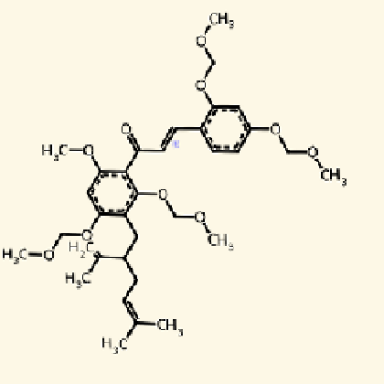 C=C(C)C(CC=C(C)C)Cc1c(OCOC)cc(OC)c(C(=O)/C=C/c2ccc(OCOC)cc2OCOC)c1OCOC